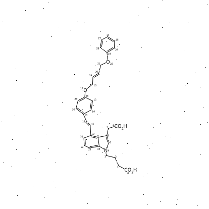 O=C(O)CCCn1cc(CC(=O)O)c2c(C=Cc3ccc(OC/C=C/COc4ccccc4)cc3)cccc21